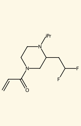 C=CC(=O)N1CCN(C(C)C)C(CC(F)F)C1